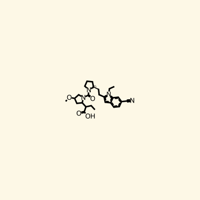 CCC(C(=O)O)C1CC(OC)CN1C(=O)N1CCC[C@H]1CCc1cc2ccc(C#N)cc2n1CC